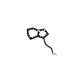 CCCc1cnn2ccccc12